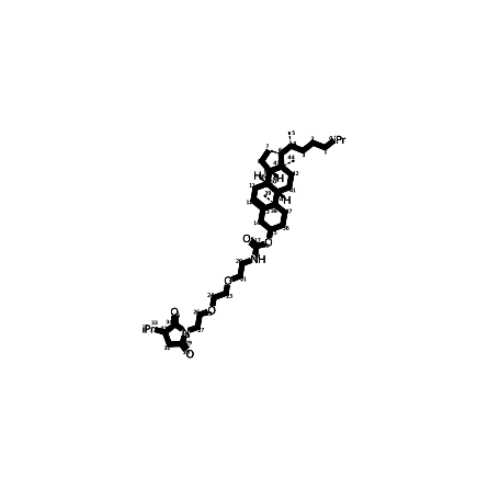 CC(C)CCC[C@@H](C)[C@H]1CC[C@H]2[C@@H]3CC=C4CC(OC(=O)NCCOCCOCCN5C(=O)CC(C(C)C)C5=O)CC[C@]4(C)[C@H]3CC[C@]12C